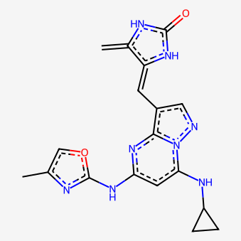 C=c1[nH]c(=O)[nH]/c1=C\c1cnn2c(NC3CC3)cc(Nc3nc(C)co3)nc12